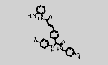 COc1ccc(NC(=O)C(Nc2ccc(OC)cc2)c2ccc(/C=C/C(=O)Nc3ccccc3N)cc2)cc1